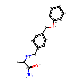 CC(NCc1ccc(COc2ccccc2)cc1)C(N)=O